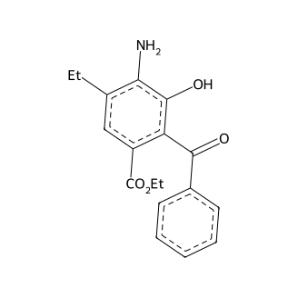 CCOC(=O)c1cc(CC)c(N)c(O)c1C(=O)c1ccccc1